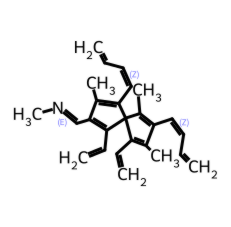 C=C/C=C\C1=C(C)C2(C(C=C)=C1C)C(C=C)=C(/C=N/C)C(C)=C2/C=C\C=C